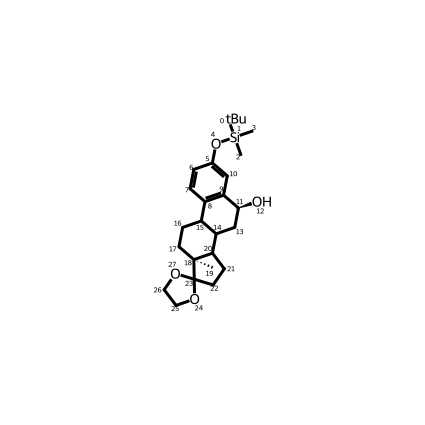 CC(C)(C)[Si](C)(C)Oc1ccc2c(c1)[C@@H](O)CC1C2CC[C@@]2(C)C1CCC21OCCO1